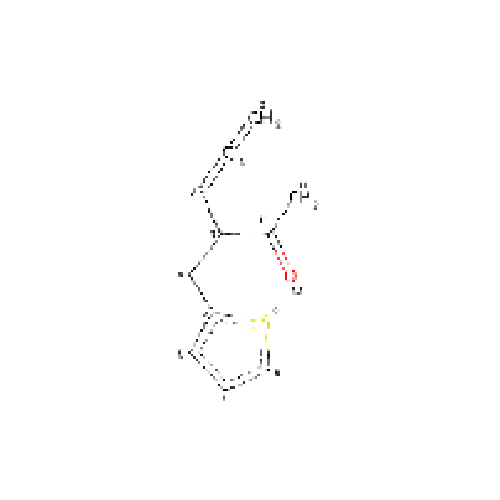 C=C=CC(Cc1cccs1)C(C)=O